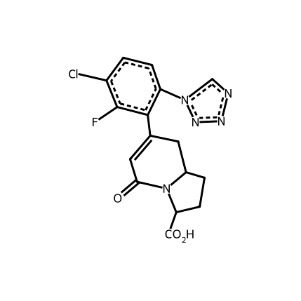 O=C(O)C1CCC2CC(c3c(-n4cnnn4)ccc(Cl)c3F)=CC(=O)N21